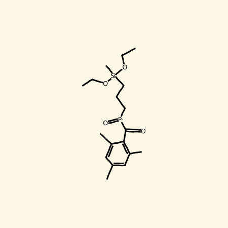 CCO[Si](C)(CCC[P](=O)C(=O)c1c(C)cc(C)cc1C)OCC